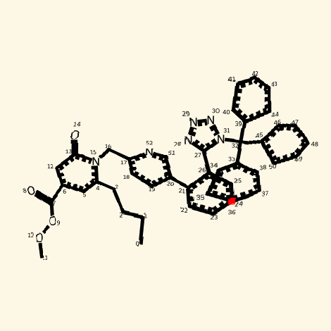 CCCCc1cc(C(=O)OOC)cc(=O)n1Cc1ccc(-c2ccccc2-c2nnnn2C(c2ccccc2)(c2ccccc2)c2ccccc2)cn1